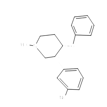 CN1CC[C@H](Oc2ccccc2)[C@H](c2cccc(C#N)c2)C1